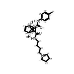 Cc1ccc(NC(=O)[C@H]2[C@H](C(=O)NCCCCN3CCCC3)[C@H]3C=C[C@@H]2C32CC2)cc1